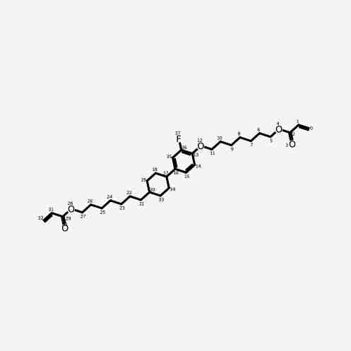 C=CC(=O)OCCCCCCCOc1ccc(C2CCC(CCCCCCCOC(=O)C=C)CC2)cc1F